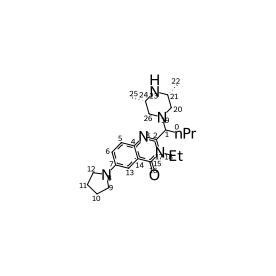 CCCC(c1nc2ccc(N3CCCC3)cc2c(=O)n1CC)N1C[C@@H](C)N[C@@H](C)C1